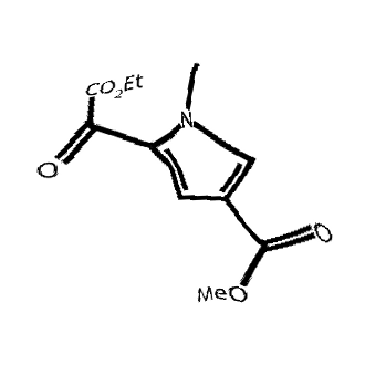 CCOC(=O)C(=O)c1cc(C(=O)OC)cn1C